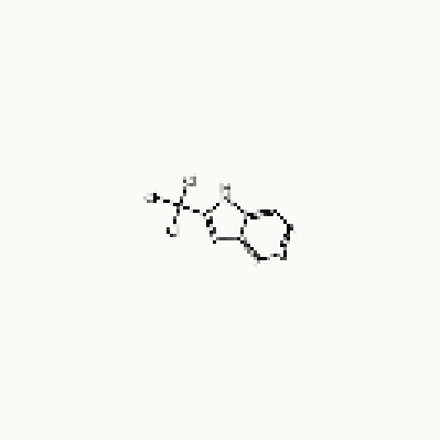 ClC(Cl)(Cl)c1nc2bbbcc2[nH]1